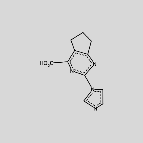 O=C(O)c1nc(-n2ccnc2)nc2c1CCC2